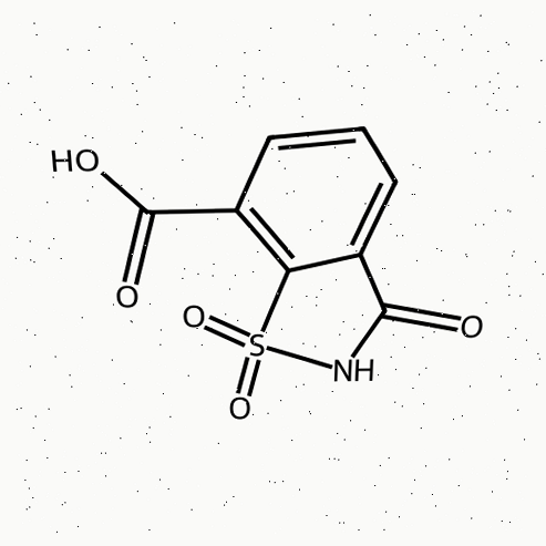 O=C(O)c1cccc2c1S(=O)(=O)NC2=O